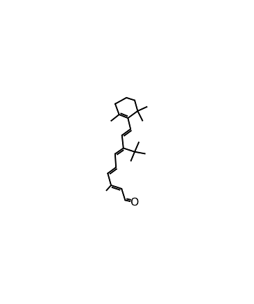 CC(C=CC=C(C=CC1=C(C)CCCC1(C)C)C(C)(C)C)=CC=O